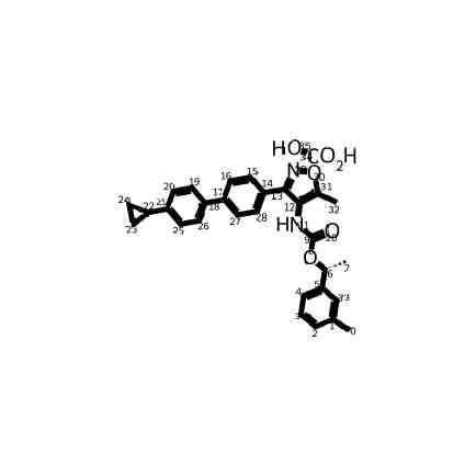 Cc1cccc([C@@H](C)OC(=O)Nc2c(-c3ccc(-c4ccc(C5CC5)cc4)cc3)noc2C)c1.O=C(O)O